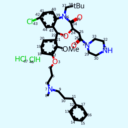 COc1c(OCCCN(C)CCCc2ccccc2)cccc1C1OC(CC(=O)N2CCNCC2)C(=O)N(CC(C)(C)C)c2ccc(Cl)cc21.Cl.Cl